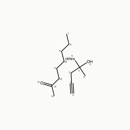 C#CCC(C)(O)CCCCCC.CCCCCCC(C)=O